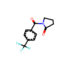 O=C1CCCN1C(=O)c1ccc(C(F)(F)F)cc1